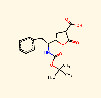 CC(C)(C)OC(=O)N[C@@H](Cc1ccccc1)[C@H]1CC(C(=O)O)C(=O)O1